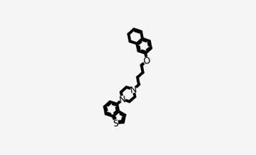 C1=Cc2ccc(OCCCCN3CCN(c4cccc5sccc45)CC3)cc2CC1